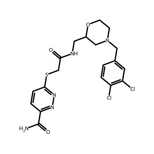 NC(=O)c1ccc(SCC(=O)NCC2CN(Cc3ccc(Cl)c(Cl)c3)CCO2)nn1